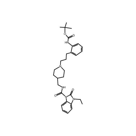 CCn1c(=O)n(C(=O)NCC2CCN(CCCc3ccccc3NC(=O)OC(C)(C)C)CC2)c2ccccc21